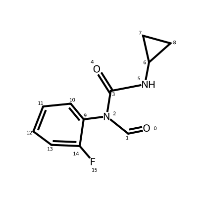 O=CN(C(=O)NC1CC1)c1ccccc1F